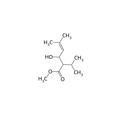 COC(=O)C(C(C)C)C(O)C=C(C)C